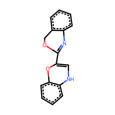 [C]1=C(C2=Nc3ccccc3CO2)Oc2ccccc2N1